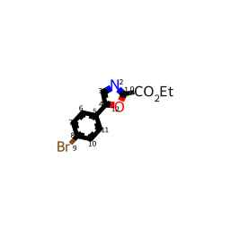 CCOC(=O)c1ncc(-c2ccc(Br)cc2)o1